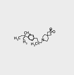 CCC(C)(C)c1ccc(C[C@@H](C)CN2CCC3(CC2)CS(=O)(=O)C3)cc1